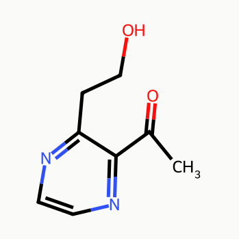 CC(=O)c1nccnc1CCO